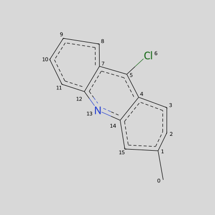 Cc1ccc2c(Cl)c3ccccc3nc2c1